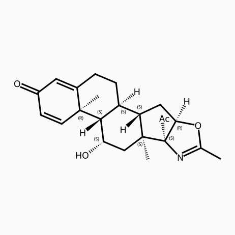 CC(=O)[C@@]12N=C(C)O[C@@H]1C[C@H]1[C@@H]3CCC4=CC(=O)C=C[C@]4(C)[C@H]3[C@@H](O)C[C@@]12C